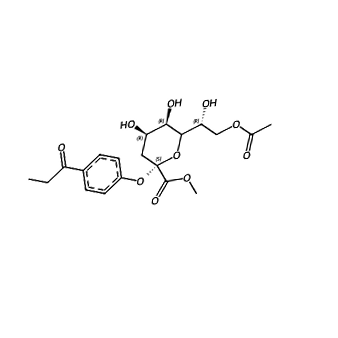 CCC(=O)c1ccc(O[C@]2(C(=O)OC)C[C@@H](O)[C@@H](O)C([C@H](O)COC(C)=O)O2)cc1